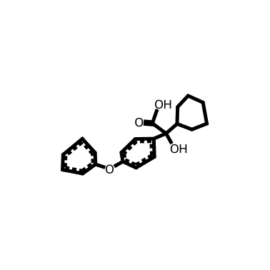 O=C(O)C(O)(c1ccc(Oc2ccccc2)cc1)C1CCCCC1